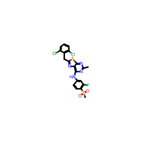 Cc1nc(Nc2ccc(S(C)(=O)=O)c(F)c2)c2nc(Cc3c(Cl)cccc3Cl)sc2n1